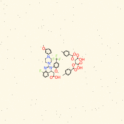 COc1cccc(N2CCN(C3=Nc4c(F)cccc4C(CC(=O)O)N3c3cc(C(F)(F)F)ccc3OC)CC2)c1.Cc1ccc(C(=O)O[C@H](C(=O)O)[C@H](OC(=O)c2ccc(C)cc2)C(=O)O)cc1